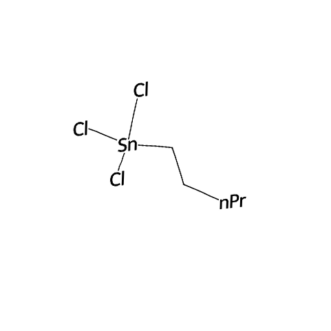 CCCC[CH2][Sn]([Cl])([Cl])[Cl]